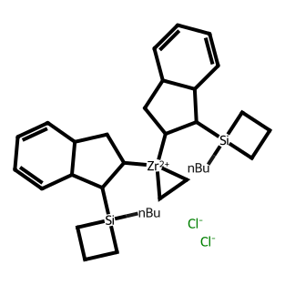 CCCC[Si]1(C2C3C=CC=CC3C[CH]2[Zr+2]2([CH]3CC4C=CC=CC4C3[Si]3(CCCC)CCC3)[CH2][CH2]2)CCC1.[Cl-].[Cl-]